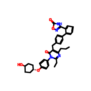 CCCc1nc(CC)n(-c2ccc(O[C@H]3CC[C@H](O)CC3)cc2)c(=O)c1Cc1ccc(-c2ccccc2-c2noc(=O)[nH]2)cc1